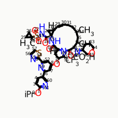 CC(C)Oc1ccc(-c2cc(O[C@@H]3C[C@H]4C(=O)N[C@]5(C(=O)NS(=O)(=O)C6(C)CC6)C[C@H]5/C=C\CC[C@@H](C)C[C@@H](C)[C@H](N(C(=O)O)C5CCCOC5)C(=O)N4C3C(F)(F)F)cc(-c3nccs3)n2)cn1